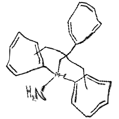 CCC(CC)(c1ccccc1)[PH](N)(c1ccccc1)c1ccccc1